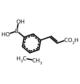 CC.O=C(O)C=Cc1cccc(B(O)O)c1